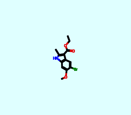 CCOC(=O)c1c(C)[nH]c2cc(OC)c(Br)cc12